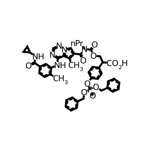 CCCN(C(=O)OCC(C(=O)O)c1ccc(OP(=O)(OCc2ccccc2)OCc2ccccc2)cc1)C(=O)c1cn2ncnc(Nc3cc(C(=O)NC4CC4)ccc3C)c2c1C